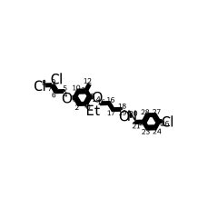 CCc1cc(OCC=C(Cl)Cl)cc(C)c1OCCCCO/N=C/c1ccc(Cl)cc1